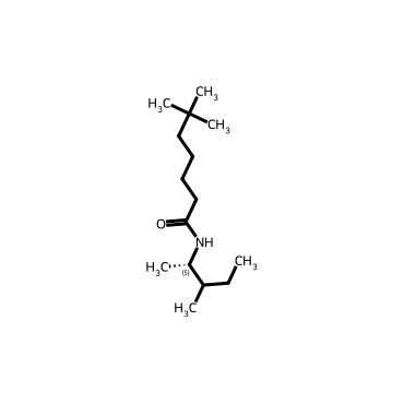 CCC(C)[C@H](C)NC(=O)CCCCC(C)(C)C